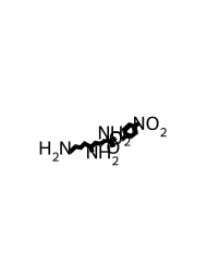 NCCCCC(N)CCC(N)C(=O)OCc1ccc([N+](=O)[O-])cc1